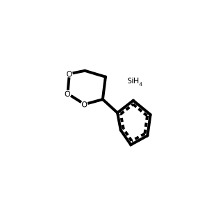 [SiH4].c1ccc(C2CCOOO2)cc1